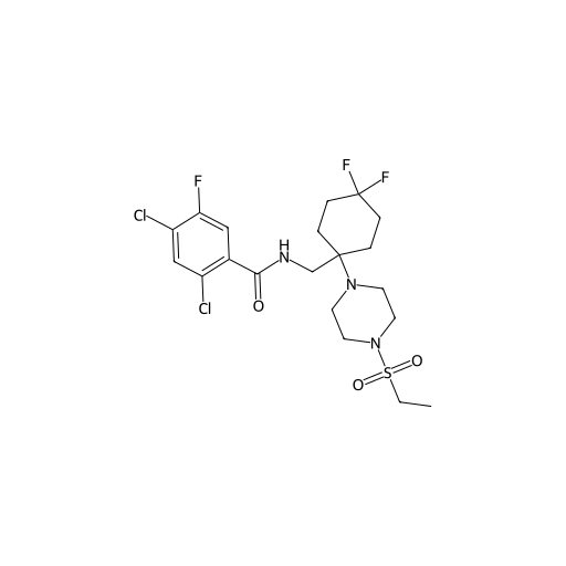 CCS(=O)(=O)N1CCN(C2(CNC(=O)c3cc(F)c(Cl)cc3Cl)CCC(F)(F)CC2)CC1